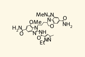 CCn1nc(C)cc1C(=O)Nc1nc2cc(C(N)=O)cc(OC)c2n1CCCC1COc2cc(C(N)=O)cc3nc(NC)n1c23